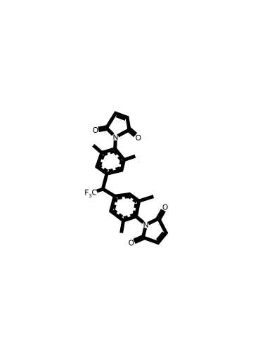 Cc1cc(C(c2cc(C)c(N3C(=O)C=CC3=O)c(C)c2)C(F)(F)F)cc(C)c1N1C(=O)C=CC1=O